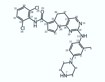 Cc1cc(N2CCNCC2)ccc1Nc1ncc2c(n1)-n1ccc(C(=O)Nc3c(Cl)cccc3Cl)c1CC2